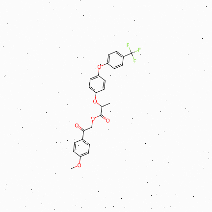 COc1ccc(C(=O)COC(=O)C(C)Oc2ccc(Oc3ccc(C(F)(F)F)cc3)cc2)cc1